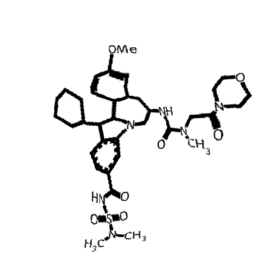 COC1=CC2CC(NC(=O)N(C)CC(=O)N3CCOCC3)CN3c4cc(C(=O)NS(=O)(=O)N(C)C)ccc4C(C4CCCCC4)C3C2C=C1